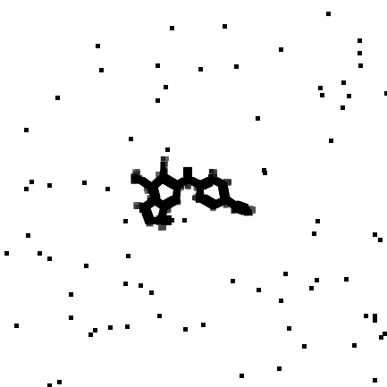 N#Cc1cnc(Nc2cc3[nH]cnc3c(Br)c2F)nc1